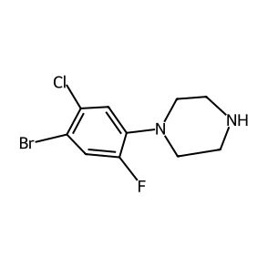 Fc1cc(Br)c(Cl)cc1N1CCNCC1